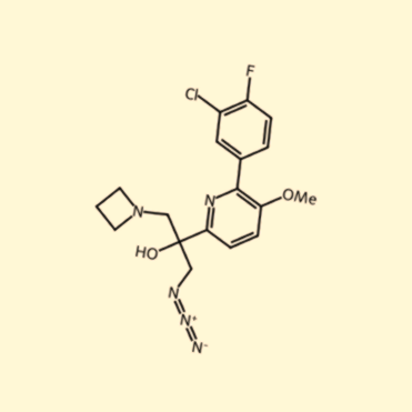 COc1ccc(C(O)(CN=[N+]=[N-])CN2CCC2)nc1-c1ccc(F)c(Cl)c1